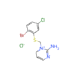 Nc1nccc[n+]1CSc1cc(Cl)ccc1Br.[Cl-]